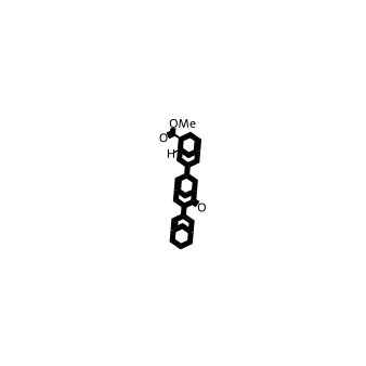 COC(=O)[C@H]1CC=C2CC(C3C=C4CC(C3)C(=O)C(C3C=C5CCCC(C5)C3)C4)C[C@@H]1C2